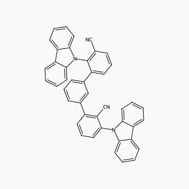 N#Cc1cccc(-c2cccc(-c3cccc(-n4c5ccccc5c5ccccc54)c3C#N)c2)c1-n1c2ccccc2c2ccccc21